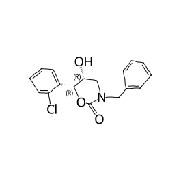 O=C1O[C@H](c2ccccc2Cl)[C@H](O)CN1Cc1ccccc1